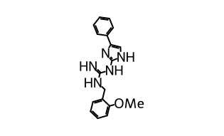 COc1ccccc1CNC(=N)Nc1nc(-c2ccccc2)c[nH]1